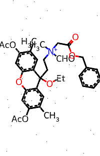 CCOC1(CC[N+](C)(C=O)CC(=O)OCc2ccccc2)c2cc(C)c(OC(C)=O)cc2Oc2cc(OC(C)=O)c(C)cc21